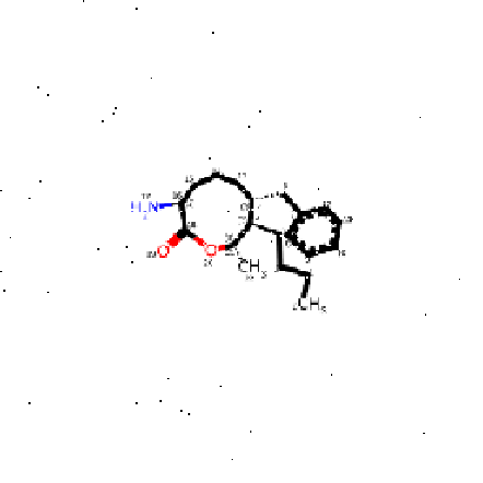 CCCC[C@@H]1[C@@H](Cc2ccccc2)CCC[C@H](N)C(=O)O[C@H]1C